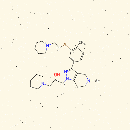 CC(=O)N1CCc2c(c(-c3ccc(C(F)(F)F)c(SCCN4CCCCC4)c3)nn2CC(O)CN2CCCCC2)C1